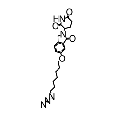 [N-]=[N+]=NCCCCCCCOc1ccc2c(c1)C(=O)N(C1CCC(=O)NC1=O)C2